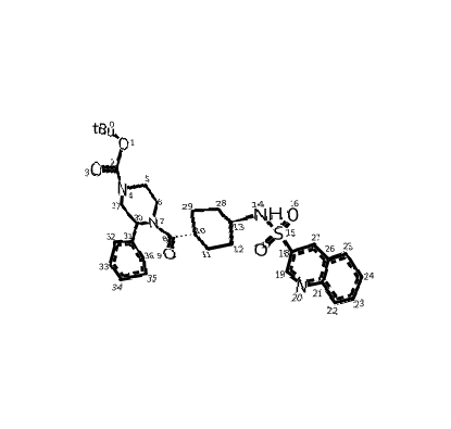 CC(C)(C)OC(=O)N1CCN(C(=O)[C@H]2CC[C@H](NS(=O)(=O)c3cnc4ccccc4c3)CC2)C(c2ccccc2)C1